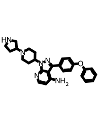 Nc1ccnc2c1c(-c1ccc(Oc3ccccc3)cc1)nn2C1CCN(C2CCNC2)CC1